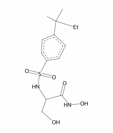 CCC(C)(C)c1ccc(S(=O)(=O)NC(CO)C(=O)NO)cc1